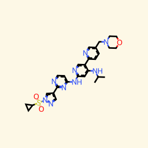 CC(C)Nc1cc(Nc2ccnc(-c3cnn(S(=O)(=O)C4CC4)c3)n2)ncc1-c1ccc(CN2CCOCC2)cn1